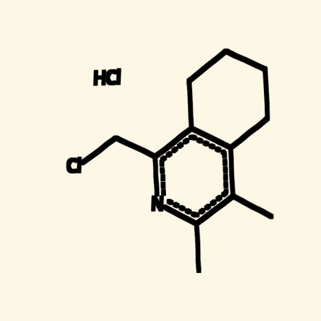 Cc1nc(CCl)c2c(c1C)CCCC2.Cl